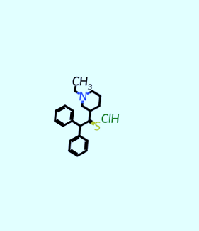 CCN1CCCC(C(=S)C(c2ccccc2)c2ccccc2)C1.Cl